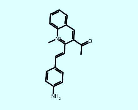 CC(=O)c1cc2ccccc2[n+](C)c1C=Cc1ccc(N)cc1